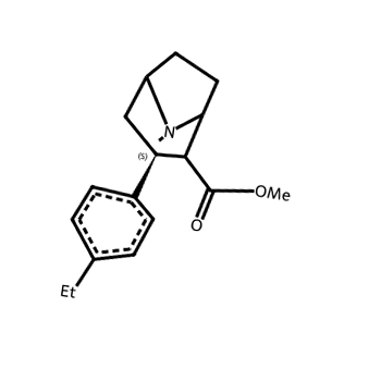 CCc1ccc([C@H]2CC3CCC(C2C(=O)OC)N3C)cc1